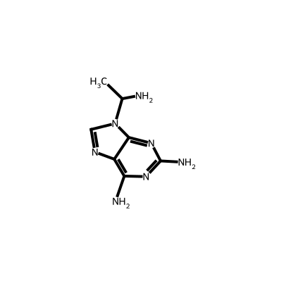 CC(N)n1cnc2c(N)nc(N)nc21